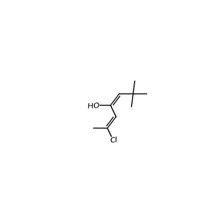 C/C(Cl)=C\C(O)=C/C(C)(C)C